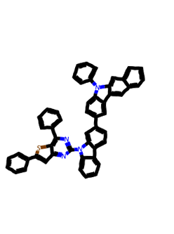 c1ccc(-c2cc3nc(-n4c5ccccc5c5ccc(-c6ccc7c(c6)c6cc8ccccc8cc6n7-c6ccccc6)cc54)nc(-c4ccccc4)c3s2)cc1